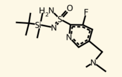 CN(C)Cc1cnc(S(N)(=O)=N[Si](C)(C)C(C)(C)C)c(F)c1